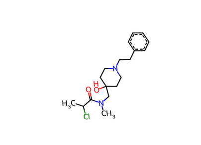 CC(Cl)C(=O)N(C)CC1(O)CCN(CCc2ccccc2)CC1